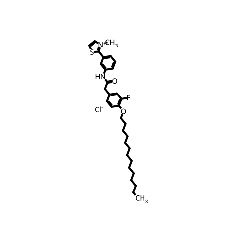 CCCCCCCCCCCCCCOc1ccc(CC(=O)Nc2cccc(-c3scc[n+]3C)c2)cc1F.[Cl-]